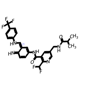 CC(C)C(=O)NCc1cnc(C(F)F)c(C(=O)NC2=C/C(=C/Nc3ccc(C(F)(F)F)cc3)C(=N)C=C2)c1